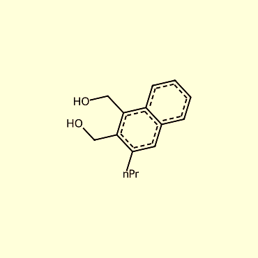 CCCc1cc2ccccc2c(CO)c1CO